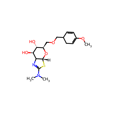 COC1=CCC(COC[C@H]2O[C@@H]3SC(N(C)C)=NC3[C@@H](O)[C@@H]2O)C=C1